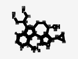 Nc1ncnc2c1c1c(n2C(CF)CF)CC[C@H](O)c2c-1noc2C1CC1